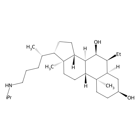 CC[C@@H]1[C@H](O)[C@H]2[C@@H](CC[C@]3(C)[C@@H]2CC[C@H]3[C@@H](C)CCCNC(C)C)[C@]2(C)CC[C@H](O)C[C@H]12